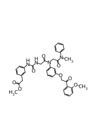 COC(=O)Cc1cccc(NC(=O)NCC(=O)N(CC(=O)N(C)c2ccccc2)c2cccc(OCC(=O)c3ccccc3OC)c2)c1